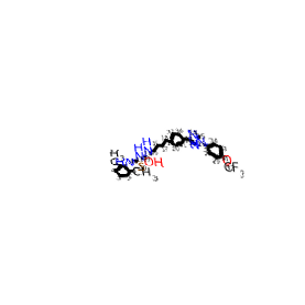 Cc1cccc(C)c1NC(=S)NC(O)NCCCCc1ccc(-c2ncn(-c3ccc(OC(F)(F)F)cc3)n2)cc1